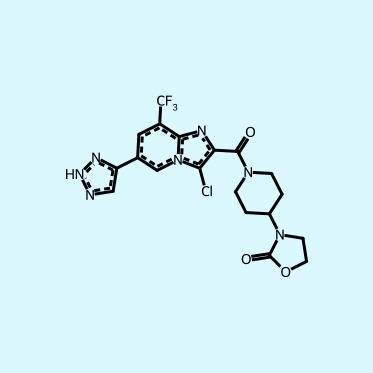 O=C(c1nc2c(C(F)(F)F)cc(-c3cn[nH]n3)cn2c1Cl)N1CCC(N2CCOC2=O)CC1